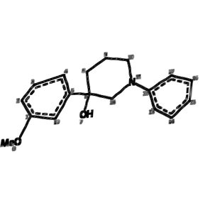 COc1cccc(C2(O)CCCN(c3[c]cccc3)C2)c1